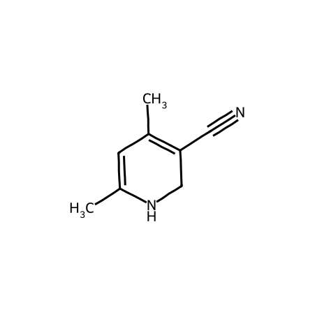 CC1=CC(C)=C(C#N)CN1